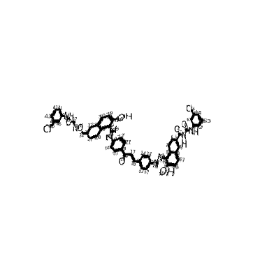 O=C(NC(=O)c1ccc2c(N=Nc3ccc(C=CC(=O)c4ccc(N=Nc5c(O)ccc6cc(CON=CONc7cccc(Cl)c7)ccc56)cc4)cc3)c(O)ccc2c1)Nc1cccc(Cl)c1